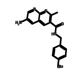 Cc1nc2ncc(N)cc2cc1C(=O)NCc1ccc(C(C)(C)C)cc1